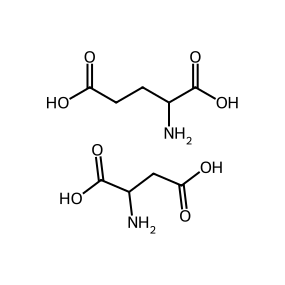 NC(CC(=O)O)C(=O)O.NC(CCC(=O)O)C(=O)O